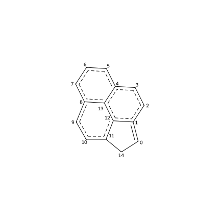 C1=c2ccc3cccc4ccc(c2c43)C1